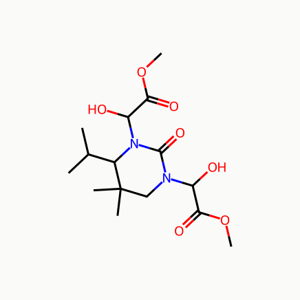 COC(=O)C(O)N1CC(C)(C)C(C(C)C)N(C(O)C(=O)OC)C1=O